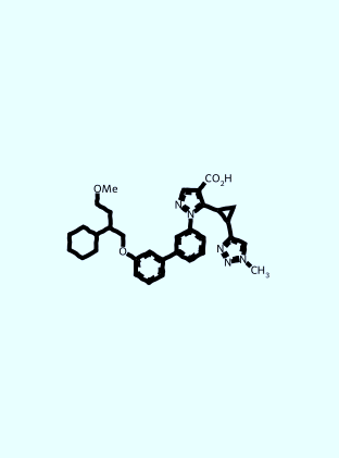 COCCC(COc1cccc(-c2cccc(-n3ncc(C(=O)O)c3C3CC3c3cn(C)nn3)c2)c1)C1CCCCC1